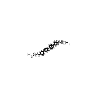 CCCCc1ccc(-[n+]2ccc(-c3cc[n+](-c4ccc(CCCC)cc4)cc3)cc2)cc1